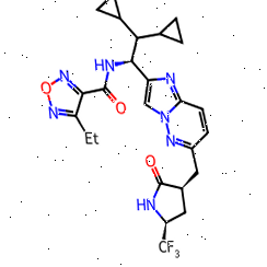 CCc1nonc1C(=O)N[C@H](c1cn2nc(C[C@H]3C[C@@H](C(F)(F)F)NC3=O)ccc2n1)C(C1CC1)C1CC1